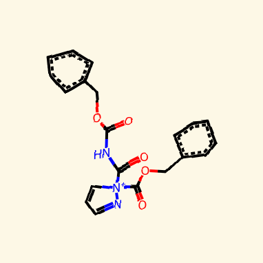 O=C(NC(=O)[N+]1(C(=O)OCc2ccccc2)C=CC=N1)OCc1ccccc1